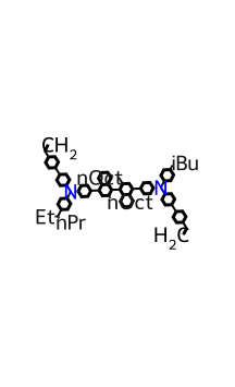 C=Cc1ccc(-c2ccc(N(c3ccc(-c4cc(CCCCCCCC)c(-c5c(CCCCCCCC)cc(-c6ccc(N(c7ccc(-c8ccc(C=C)cc8)cc7)c7ccc(C(CC)CCC)cc7)cc6)c6ccccc56)c5ccccc45)cc3)c3ccc(C(C)CC)cc3)cc2)cc1